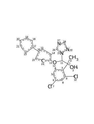 CC(O)(c1ccc(Cl)cc1Cl)C(Oc1ccc(-c2ccccc2)cc1)n1cncn1